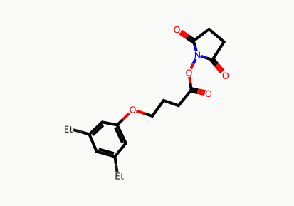 CCc1cc(CC)cc(OCCCC(=O)ON2C(=O)CCC2=O)c1